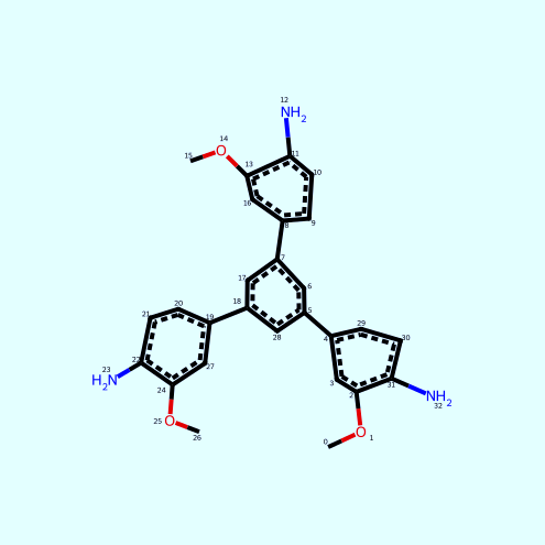 COc1cc(-c2cc(-c3ccc(N)c(OC)c3)cc(-c3ccc(N)c(OC)c3)c2)ccc1N